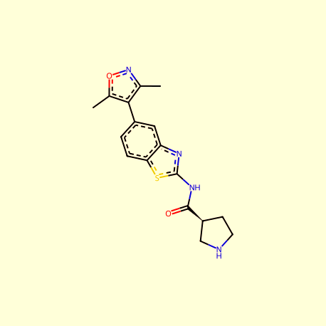 Cc1noc(C)c1-c1ccc2sc(NC(=O)[C@H]3CCNC3)nc2c1